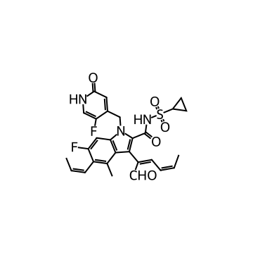 C/C=C\C=C(/C=O)c1c(C(=O)NS(=O)(=O)C2CC2)n(Cc2cc(=O)[nH]cc2F)c2cc(F)c(/C=C\C)c(C)c12